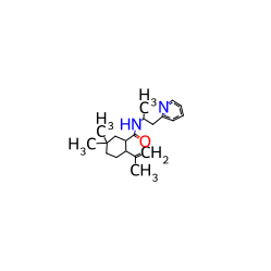 C=C(C)C1CCC(C)(C)CC1C(=O)NC(C)Cc1ccccn1